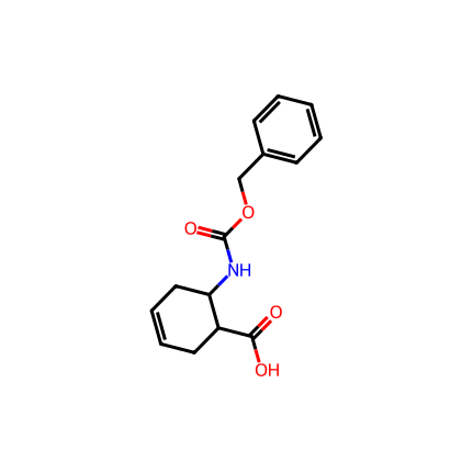 O=C(NC1CC=CCC1C(=O)O)OCc1ccccc1